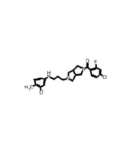 Cc1ccc(NCCCN2CC3CN(C(=O)c4ccc(Cl)cc4F)CC3C2)cc1Cl